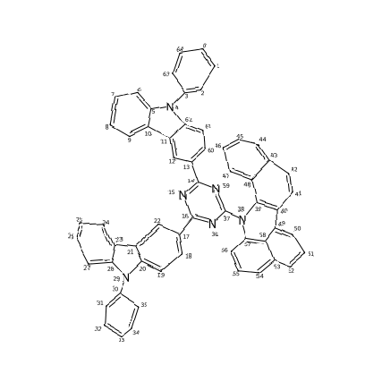 c1ccc(-n2c3ccccc3c3cc(-c4nc(-c5ccc6c(c5)c5ccccc5n6-c5ccccc5)nc(N5c6c(ccc7ccccc67)-c6cccc7cccc5c67)n4)ccc32)cc1